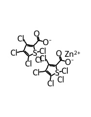 O=C([O-])C1=C(Cl)C(Cl)=C(Cl)S1(Cl)Cl.O=C([O-])C1=C(Cl)C(Cl)=C(Cl)S1(Cl)Cl.[Zn+2]